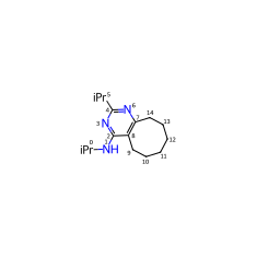 CC(C)Nc1nc(C(C)C)nc2c1CCCCCC2